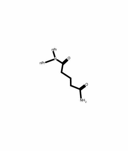 CCCN(CCC)C(=O)CCCC(N)=O